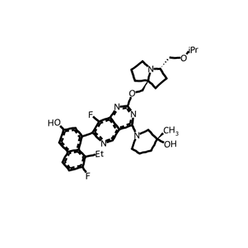 CCc1c(F)ccc2cc(O)cc(-c3ncc4c(N5CCC[C@@](C)(O)C5)nc(OC[C@@]56CCCN5[C@H](COC(C)C)CC6)nc4c3F)c12